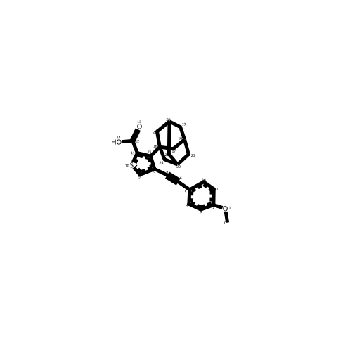 COc1ccc(C#Cc2csc(C(=O)O)c2C23CC4CC(CC(C4)C2)C3)cc1